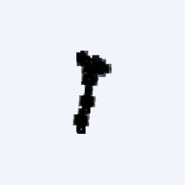 OC(Cn1cnnn1)(c1ccc(F)cc1F)C(F)(F)c1ccc(C#Cc2ccc(OCc3ccc(Cl)cc3)cc2)cn1